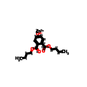 CCCCOC(=O)c1ccccc1C(=O)OCCCC.[O-2].[Zn+2]